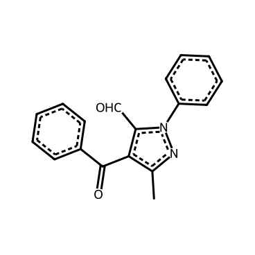 Cc1nn(-c2ccccc2)c(C=O)c1C(=O)c1ccccc1